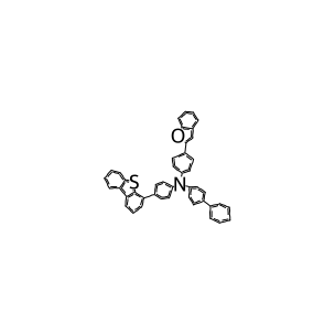 c1ccc(-c2ccc(N(c3ccc(-c4cc5ccccc5o4)cc3)c3ccc(-c4cccc5c4sc4ccccc45)cc3)cc2)cc1